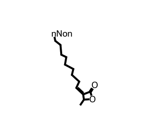 CCCCCCCCCCCCCCCCC/C=C1\C(=O)OC1C